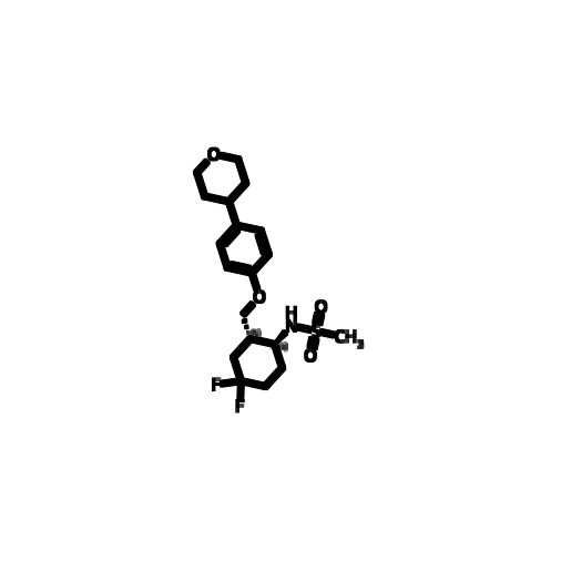 CS(=O)(=O)N[C@H]1CCC(F)(F)C[C@@H]1COc1ccc(C2CCOCC2)cc1